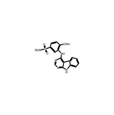 CNS(=O)(=O)c1ccc(OC)c(Nc2ncnc3[nH]c4ccccc4c23)c1